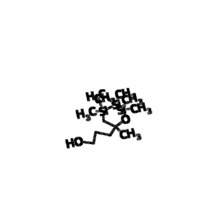 CC1(CCCO)C[Si](C)(C)[Si](C)(C)[Si](C)(C)O1